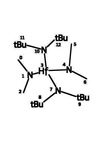 C[N](C)[Hf]([N](C)C)([N](C(C)(C)C)C(C)(C)C)[N](C(C)(C)C)C(C)(C)C